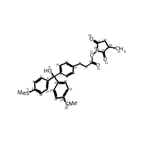 CSc1ccc(C(O)(c2ccc(CCC(=O)ON3C(=O)CC(C)C3=O)cc2)c2ccc(SC)cc2)cc1